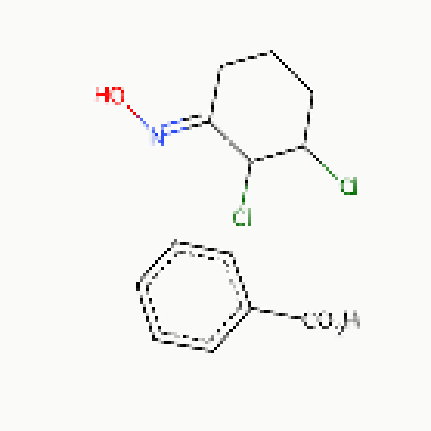 O=C(O)c1ccccc1.ON=C1CCCC(Cl)C1Cl